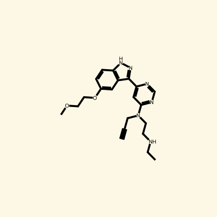 C#CCN(CCNCC)c1cc(-c2n[nH]c3ccc(OCCOC)cc23)ncn1